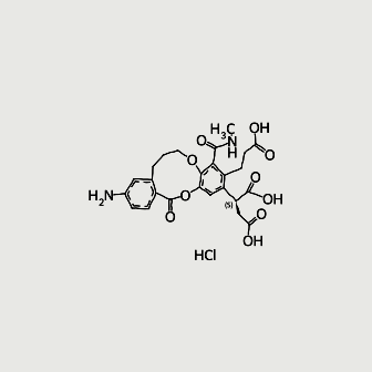 CNC(=O)c1c(CCC(=O)O)c([C@H](CC(=O)O)C(=O)O)cc2c1OCCCc1cc(N)ccc1C(=O)O2.Cl